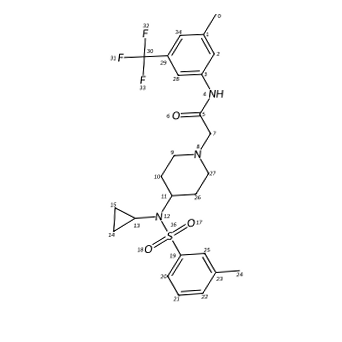 Cc1cc(NC(=O)CN2CCC(N(C3CC3)S(=O)(=O)c3cccc(C)c3)CC2)cc(C(F)(F)F)c1